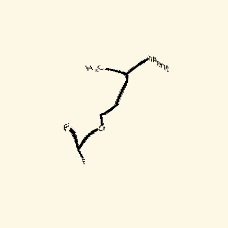 CCCCCC(C)CCOC(F)F